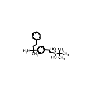 CC(N)(CCc1ccccc1)c1ccc(C=C[Si](O)(O)C(C)(C)C)cc1